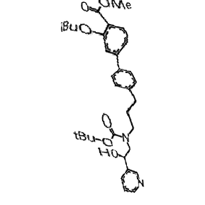 COC(=O)c1ccc(-c2ccc(CCCN(C[C@H](O)c3cccnc3)C(=O)OC(C)(C)C)cc2)cc1OCC(C)C